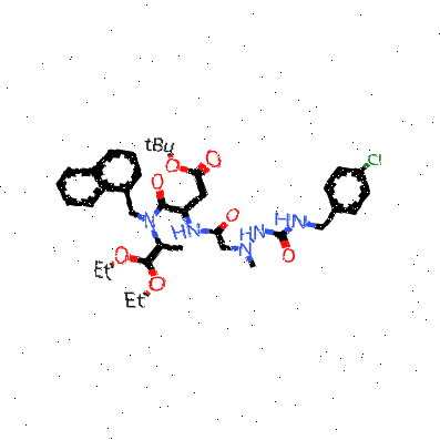 CCOC(OCC)C(C)N(Cc1cccc2ccccc12)C(=O)C(CC(=O)OC(C)(C)C)NC(=O)CN(C)NC(=O)NCc1ccc(Cl)cc1